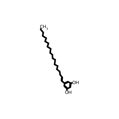 CCCCCCCCCCCCCCCCCCC=Cc1cc(O)cc(O)c1